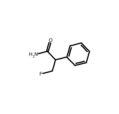 NC(=O)C(CF)c1ccccc1